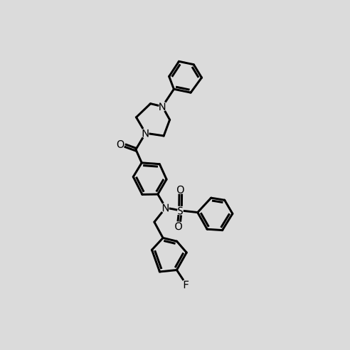 O=C(c1ccc(N(Cc2ccc(F)cc2)S(=O)(=O)c2ccccc2)cc1)N1CCN(c2ccccc2)CC1